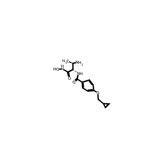 C[C@@H](N)[C@H](NC(=O)c1ccc(OCC2CC2)cc1)C(=O)NO